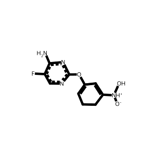 Nc1nc(OC2=CCCC([NH+]([O-])O)=C2)ncc1F